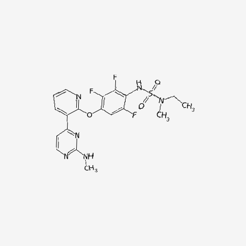 CCN(C)S(=O)(=O)Nc1c(F)cc(Oc2ncccc2-c2ccnc(NC)n2)c(F)c1F